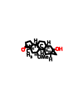 CO[C@H]1C[C@]2(C)C(=O)CC[C@H]2[C@@H]2CC[C@H]3C[C@@]4(O)C[C@@H]4C[C@]3(C)[C@H]21